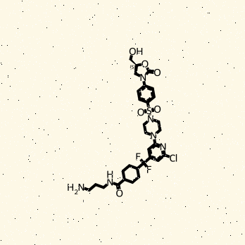 NCCCNC(=O)C1CCC(C(F)(F)c2cc(Cl)nc(N3CCN(S(=O)(=O)c4ccc(N5C[C@@H](CO)OC5=O)cc4)CC3)c2)CC1